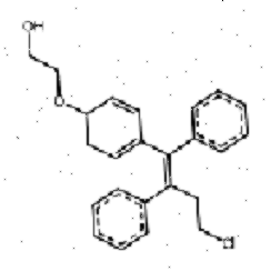 OCCOC1C=CC(/C(=C(/CCCl)c2ccccc2)c2ccccc2)=CC1